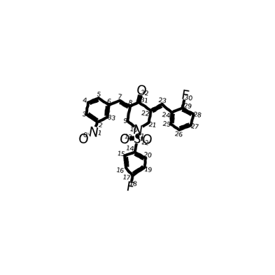 O=Nc1cccc(C=C2CN(S(=O)(=O)c3ccc(F)cc3)CC(=Cc3ccccc3F)C2=O)c1